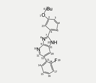 CCC(C)Oc1cccc(-c2nc3ncc(-c4ccccc4F)cc3[nH]2)c1